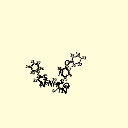 Cc1noc(-c2ccc(OC3CCCCC3)cn2)c1CNc1ncc(-c2ccccc2)s1